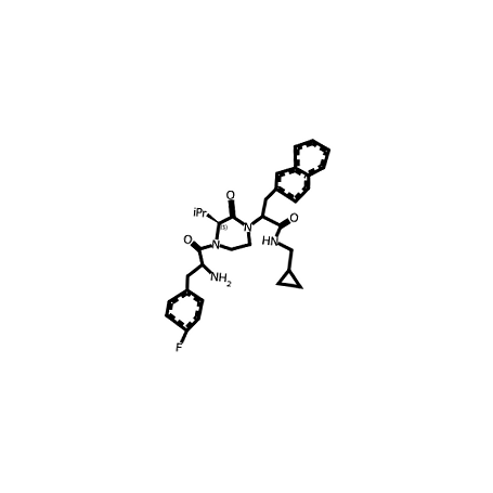 CC(C)[C@H]1C(=O)N(C(Cc2ccc3ccccc3c2)C(=O)NCC2CC2)CCN1C(=O)C(N)Cc1ccc(F)cc1